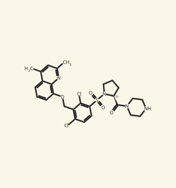 Cc1cc(C)c2cccc(OCc3c(Cl)ccc(S(=O)(=O)N4CCC[C@H]4C(=O)N4CCNCC4)c3Cl)c2n1